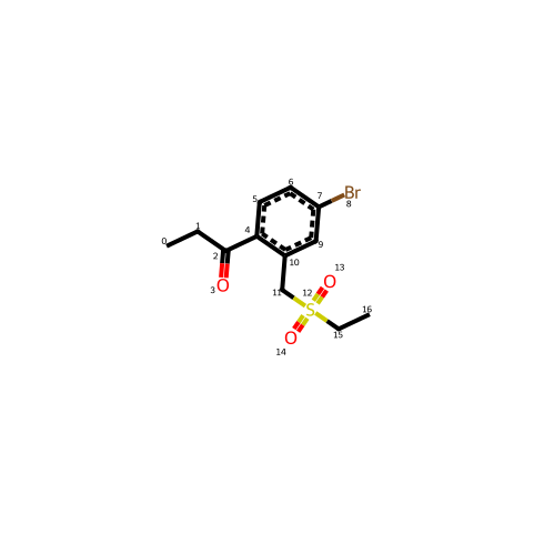 CCC(=O)c1ccc(Br)cc1CS(=O)(=O)CC